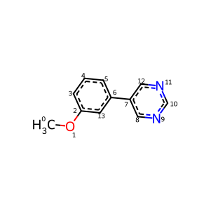 COc1cccc(-c2cncnc2)c1